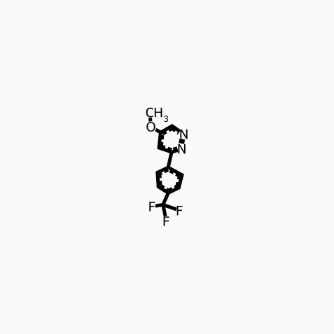 COc1cnnc(-c2ccc(C(F)(F)F)cc2)c1